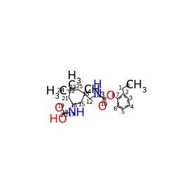 CCc1ccccc1OC(=O)NCC1(C)CC(NC(=O)O)CC(C)(C)C1